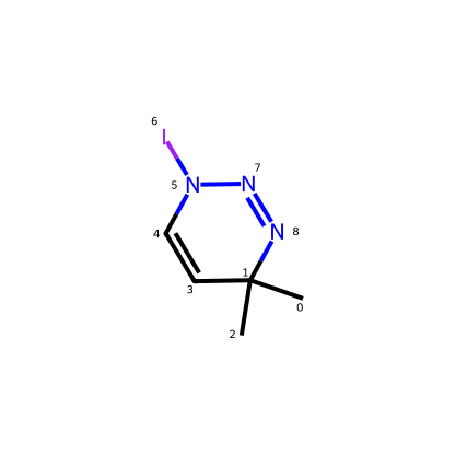 CC1(C)C=CN(I)N=N1